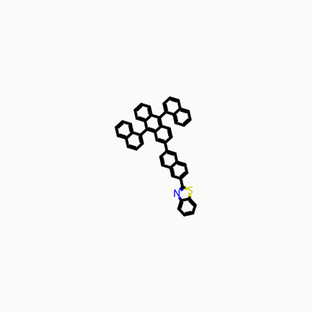 c1ccc2c(-c3c4ccccc4c(-c4cccc5ccccc45)c4cc(-c5ccc6cc(-c7nc8ccccc8s7)ccc6c5)ccc34)cccc2c1